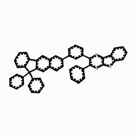 c1ccc(-c2nc3sc4ccccc4c3nc2-c2cccc(-c3ccc4cc5c(cc4c3)-c3ccccc3C5(c3ccccc3)c3ccccc3)c2)cc1